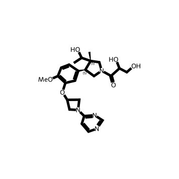 COc1ccc([C@@H]2CN(C(=O)C(O)CO)C[C@@]2(C)C(C)O)cc1OC1CN(c2ccncn2)C1